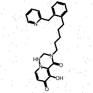 O=C1c2c(O)c(=O)ccn2NCN1CCCCCc1ccccc1Cc1ccccn1